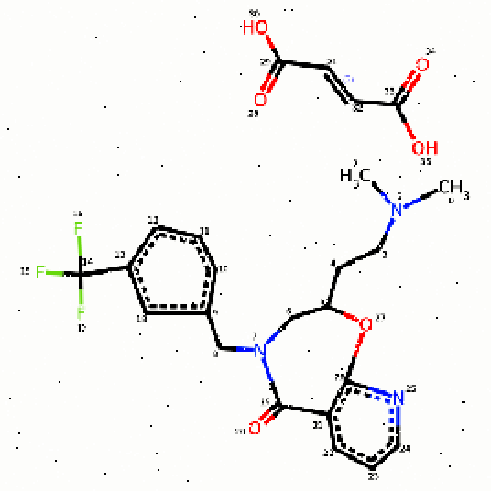 CN(C)CCC1CN(Cc2cccc(C(F)(F)F)c2)C(=O)c2cccnc2O1.O=C(O)/C=C/C(=O)O